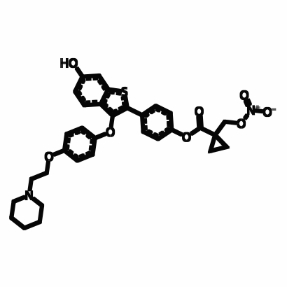 O=C(Oc1ccc(-c2sc3cc(O)ccc3c2Oc2ccc(OCCN3CCCCC3)cc2)cc1)C1(CO[N+](=O)[O-])CC1